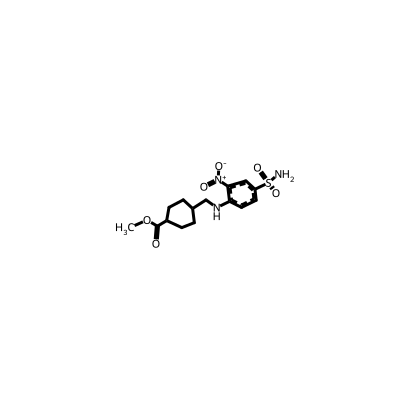 COC(=O)C1CCC(CNc2ccc(S(N)(=O)=O)cc2[N+](=O)[O-])CC1